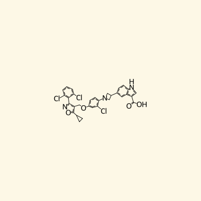 O=C(O)c1c[nH]c2ccc(C3CN(c4ccc(OCc5c(-c6c(Cl)cccc6Cl)noc5C5CC5)cc4Cl)C3)cc12